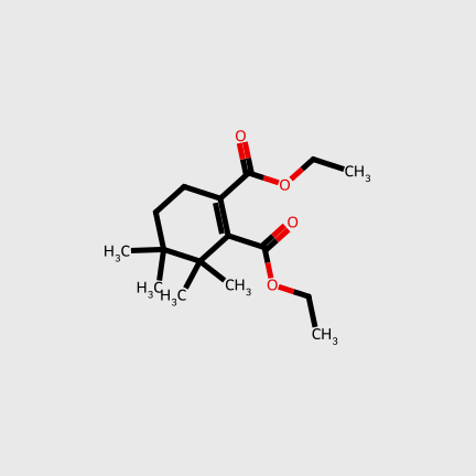 CCOC(=O)C1=C(C(=O)OCC)C(C)(C)C(C)(C)CC1